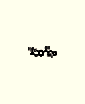 CC1CC1Oc1ccc([C@@H](O)[C@H](N)CN2CCC2)cc1Cl